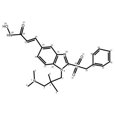 CN(C)CC(C)(C)Cn1c(S(=O)(=O)Cc2ccccc2)nc2cc(/C=C/C(=O)NO)ccc21